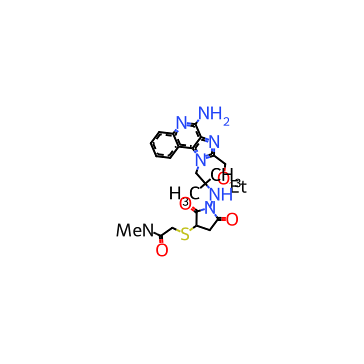 CCOCc1nc2c(N)nc3ccccc3c2n1CC(C)(C)NN1C(=O)CC(SCC(=O)NC)C1=O